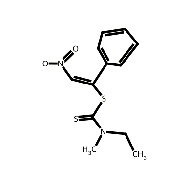 CCN(C)C(=S)SC(=C[N+](=O)[O-])c1ccccc1